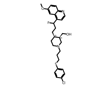 COc1ccc2nccc(C(F)CC[C@@H]3CCN(CCCSc4ccc(Cl)cc4)C[C@@H]3CO)c2c1